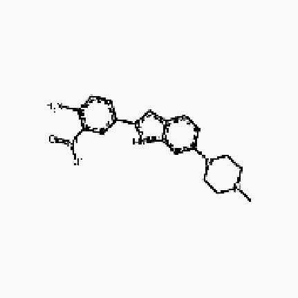 CN1CCN(c2ccc3cc(-c4ccc(N)c([N+](=O)[O-])c4)[nH]c3c2)CC1